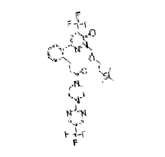 C[Si](C)(C)CCOCn1nc(-c2ccccc2CCC(=O)N2CCN(c3ncc(C(F)(F)F)cn3)CC2)cc(C(F)(F)F)c1=O